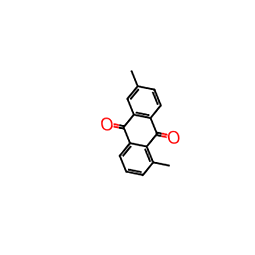 Cc1ccc2c(c1)C(=O)c1cccc(C)c1C2=O